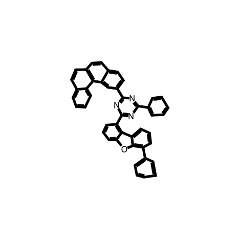 c1ccc(-c2nc(-c3ccc4ccc5ccc6ccccc6c5c4c3)nc(-c3cccc4oc5c(-c6ccccc6)cccc5c34)n2)cc1